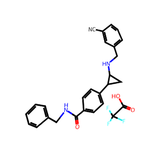 N#Cc1cccc(CNC2CC2c2ccc(C(=O)NCc3ccccc3)cc2)c1.O=C(O)C(F)(F)F